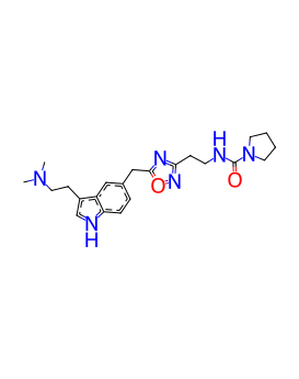 CN(C)CCc1c[nH]c2ccc(Cc3nc(CCNC(=O)N4CCCC4)no3)cc12